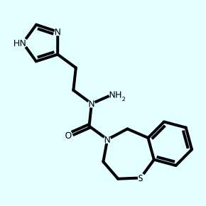 NN(CCc1c[nH]cn1)C(=O)N1CCSc2ccccc2C1